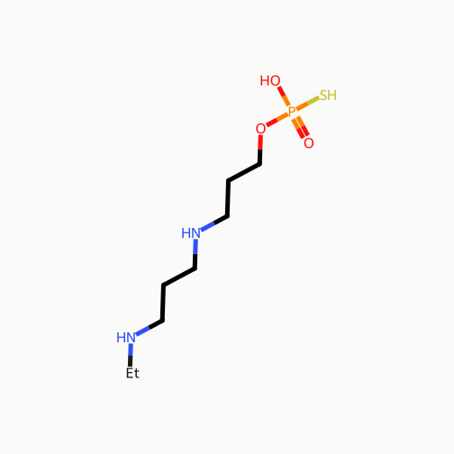 CCNCCCNCCCOP(=O)(O)S